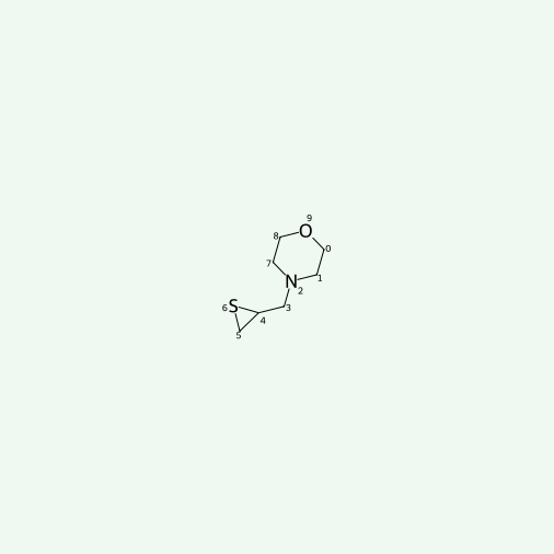 C1CN(CC2CS2)CCO1